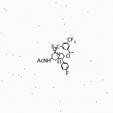 CC(=O)NC1CC(=O)N2C[C@H](O[C@H](C)c3cc(C(F)(F)F)cc(C(F)(F)F)c3)[C@@H](c3ccc(F)cc3)[C@@H]2C1